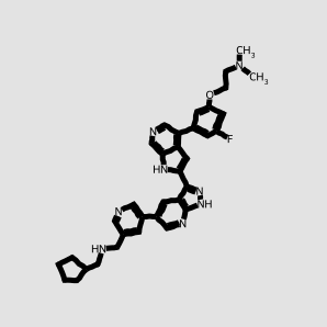 CN(C)CCOc1cc(F)cc(-c2cncc3[nH]c(-c4n[nH]c5ncc(-c6cncc(CNCC7CCCC7)c6)cc45)cc23)c1